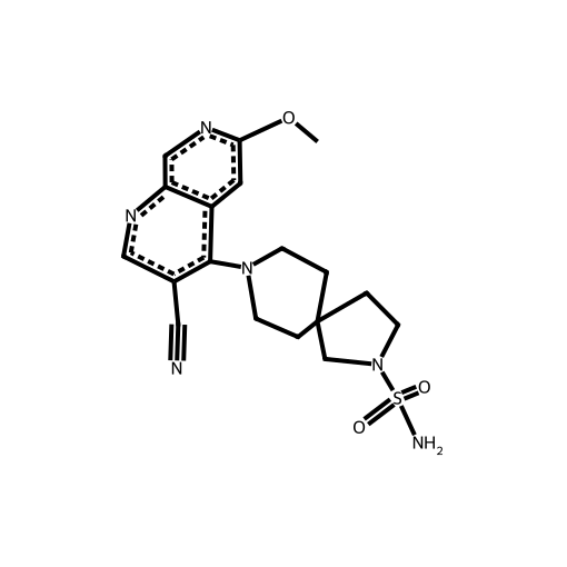 COc1cc2c(N3CCC4(CC3)CCN(S(N)(=O)=O)C4)c(C#N)cnc2cn1